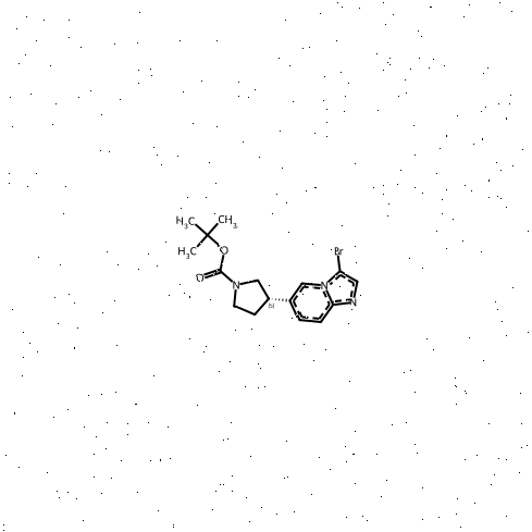 CC(C)(C)OC(=O)N1CC[C@@H](c2ccc3ncc(Br)n3c2)C1